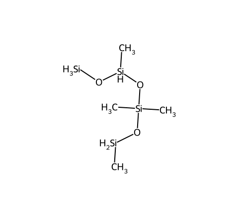 C[SiH2]O[Si](C)(C)O[SiH](C)O[SiH3]